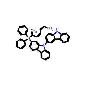 C=C(/C=C\C=C/C)[Si](c1ccccc1)(c1ccccc1)c1ccc2c3ccccc3n(-c3ccc4[nH]c5ccccc5c4c3)c2c1